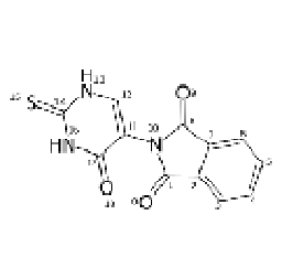 O=C1c2ccccc2C(=O)N1c1c[nH]c(=S)[nH]c1=O